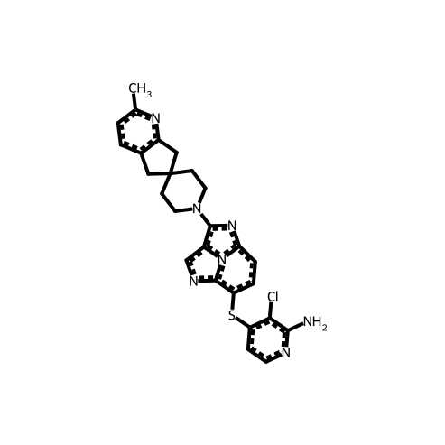 Cc1ccc2c(n1)CC1(CCN(c3nc4ccc(Sc5ccnc(N)c5Cl)c5ncc3n45)CC1)C2